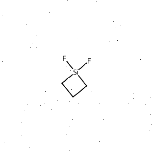 F[Si]1(F)CCC1